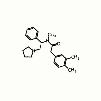 Cc1ccc(CC(=O)N(C)[C@H](CN2CCCC2)c2ccccc2)cc1C